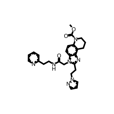 COC(=O)N1CCCc2c1ccc1c2nc(CCn2cccn2)n1CC(=O)NCCc1ccccn1